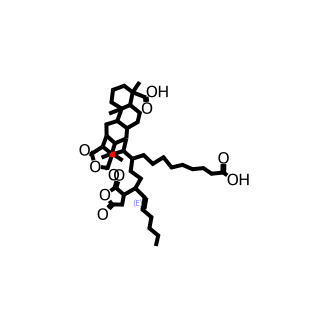 CCCC/C=C/C(CCC(CCCCCCCCC(=O)O)C1C2C(=O)OC(=O)C2C2CC3C(CCC4C(C)(C(=O)O)CCCC34C)C1C2C(C)C)C1CC(=O)OC1=O